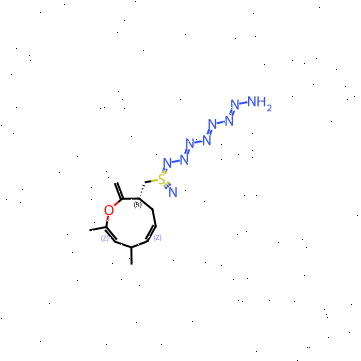 C=C1O/C(C)=C\C(C)/C=C\C[C@H]1CS(#N)=NN=NN=NN=NN